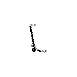 O=C(O)CCCOc1ccccc1NC(=O)CCCCCCCCCCCCCCCCS(=O)(=O)O